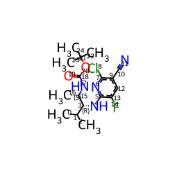 CC(C)[C@@H](Nc1nc(Cl)c(C#N)cc1F)[C@H](C)NC(=O)OC(C)(C)C